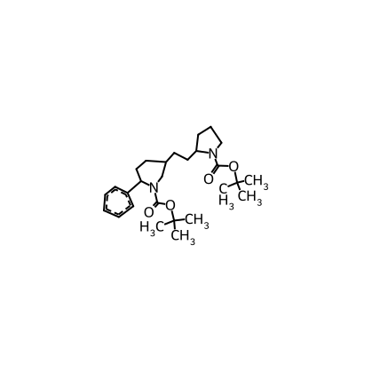 CC(C)(C)OC(=O)N1CCCC1CCC1CCC(c2ccccc2)N(C(=O)OC(C)(C)C)C1